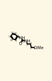 COCCCNC(=O)Nc1ccccc1